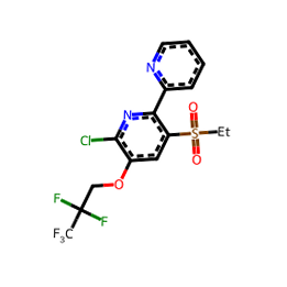 CCS(=O)(=O)c1cc(OCC(F)(F)C(F)(F)F)c(Cl)nc1-c1ccccn1